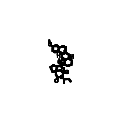 CCC(C)N1C(=O)CC2(CCCC2S(=O)(=O)N2CCC[C@@H]3CN4CCc5cc(OC)ccc5[C@@H]4C[C@@H]32)CC1=O